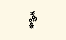 CC(C)(c1cc(-c2cccc(-c3cnc4[nH]cnc4c3)c2)c2ncccc2c1)S(C)(=O)=O